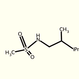 CC(C)C(C)CNS(C)(=O)=O